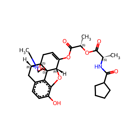 C[C@H](NC(=O)C1CCCC1)C(=O)O[C@@H](C)C(=O)OC1=CC[C@@]2(O)[C@H]3Cc4ccc(O)c5c4[C@@]2(CCN3C)[C@H]1O5